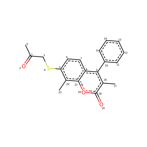 CC(=O)CSc1ccc2c(-c3ccccc3)c(C)c(=O)oc2c1C